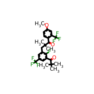 COc1ccc(C(=O)C(C)(C)Cc2cc(C(F)(F)F)cc(C(=O)C(C)(C)C)c2F)c(C(F)(F)F)c1